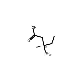 CC[C@@](C)(N)CC(=O)O